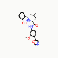 COc1cc(NC(=O)[C@@H](CC(C)C)NCc2ccccc2O)ccc1-c1cnco1